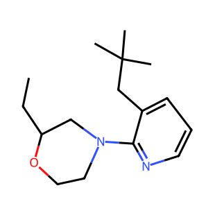 CCC1CN(c2ncccc2CC(C)(C)C)CCO1